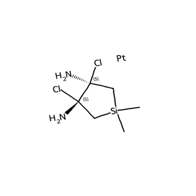 C[Si]1(C)C[C@](N)(Cl)[C@@](N)(Cl)C1.[Pt]